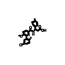 COc1ccc(C(=O)NC(CC(=O)O)c2ccc(C)cc2)nc1-c1cc(Cl)ccc1F